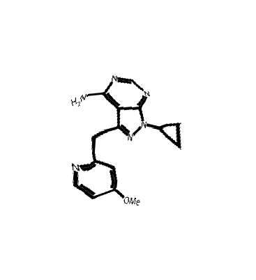 COc1ccnc(Cc2nn(C3CC3)c3ncnc(N)c23)c1